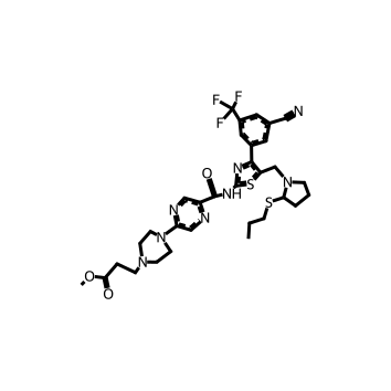 CCCSC1CCCN1Cc1sc(NC(=O)c2cnc(N3CCN(CCC(=O)OC)CC3)cn2)nc1-c1cc(C#N)cc(C(F)(F)F)c1